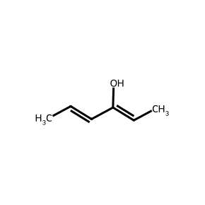 CC=CC(O)=CC